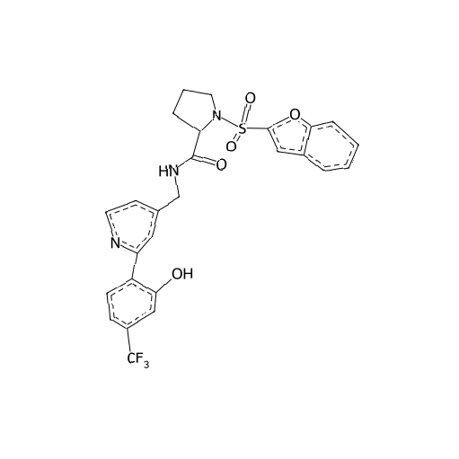 O=C(NCc1ccnc(-c2ccc(C(F)(F)F)cc2O)c1)C1CCCN1S(=O)(=O)c1cc2ccccc2o1